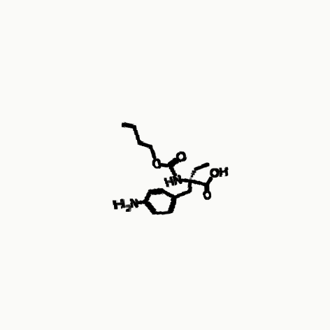 CCCCOC(=O)N[C@](CC)(Cc1ccc(N)cc1)C(=O)O